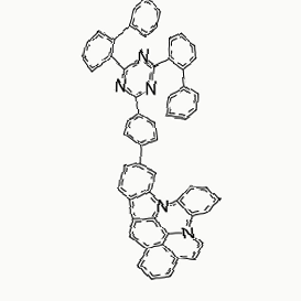 c1ccc(-c2ccccc2-c2nc(-c3ccc(-c4ccc5c6cc7cccc8ccn9c%10ccccc%10n(c5c4)c6c-9c87)cc3)nc(-c3ccccc3-c3ccccc3)n2)cc1